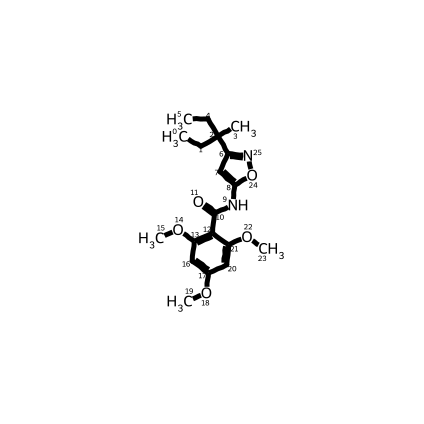 CCC(C)(CC)c1cc(NC(=O)c2c(OC)cc(OC)cc2OC)on1